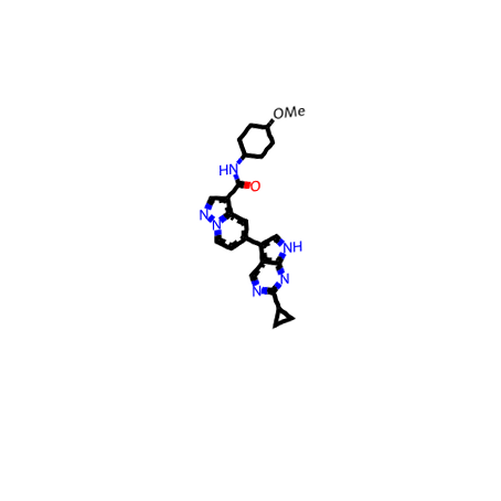 COC1CCC(NC(=O)c2cnn3ccc(-c4c[nH]c5nc(C6CC6)ncc45)cc23)CC1